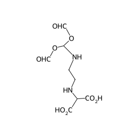 O=COC(NCCNC(C(=O)O)C(=O)O)OC=O